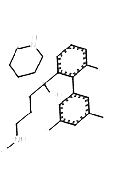 Cc1cc(F)cc(-c2c(Cl)cccc2C(O)(CCCNC(=O)O)[C@@H]2CCCNC2)c1